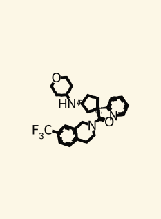 O=C(N1CCc2ccc(C(F)(F)F)cc2C1)[C@@]1(c2ccccn2)CC[C@@H](NC2CCOCC2)C1